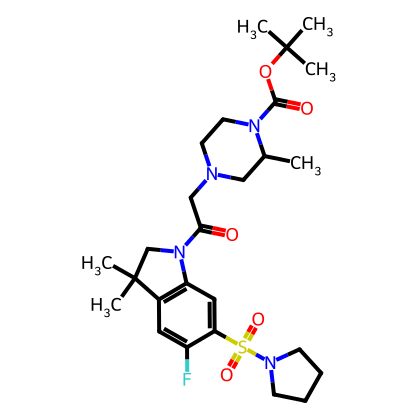 CC1CN(CC(=O)N2CC(C)(C)c3cc(F)c(S(=O)(=O)N4CCCC4)cc32)CCN1C(=O)OC(C)(C)C